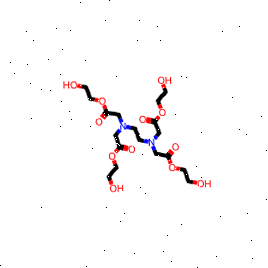 O=C(CN(CCN(CC(=O)OCCO)CC(=O)OCCO)CC(=O)OCCO)OCCO